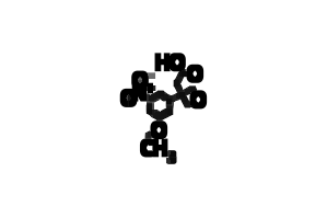 CCOc1cc([N+](=O)[O-])cc(C2(CC(=O)O)COC2)c1